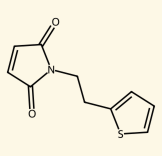 O=C1C=CC(=O)N1CCc1cccs1